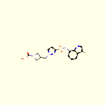 CC(C)(C)OC(=O)N1CC(Cn2ccc(S(=O)(=O)Nc3cccc4c(Cl)c[nH]c34)n2)C1